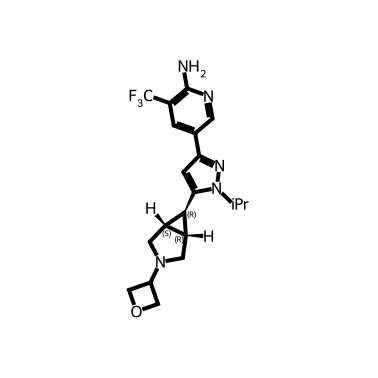 CC(C)n1nc(-c2cnc(N)c(C(F)(F)F)c2)cc1[C@H]1[C@@H]2CN(C3COC3)C[C@@H]21